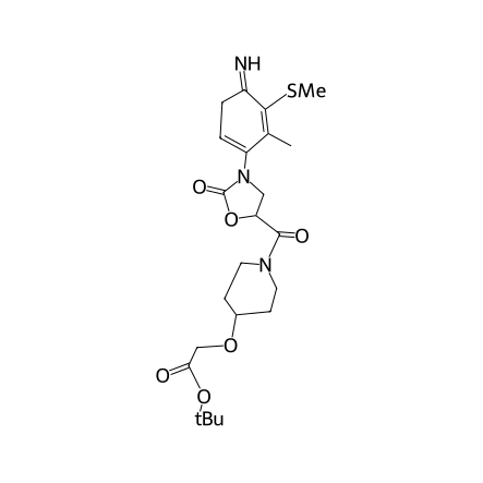 CSC1=C(C)C(N2CC(C(=O)N3CCC(OCC(=O)OC(C)(C)C)CC3)OC2=O)=CCC1=N